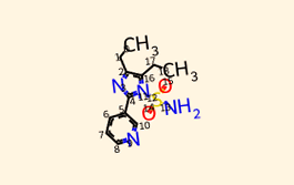 CCc1nc(-c2cccnc2)n(S(N)(=O)=O)c1CC